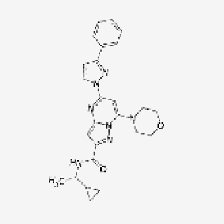 C[C@H](NC(=O)c1cc2nc(-n3ccc(-c4ccccc4)n3)cc(N3CCOCC3)n2n1)C1CC1